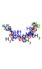 Cn1cc(NC(=O)c2cc(NC(=O)c3cc(NC(=O)c4sccc4Cl)cn3C)cn2C)cc1C(=O)NCCN1CCC(F)CC1